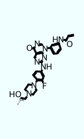 C=CC(=O)Nc1cccc(-n2cnc(=O)c3cnc(Nc4ccc(N5CCN(C[C@H](C)O)CC5)c(F)c4)nc32)c1